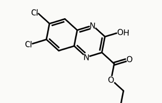 CCOC(=O)c1nc2cc(Cl)c(Cl)cc2nc1O